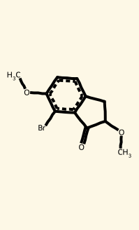 COc1ccc2c(c1Br)C(=O)C(OC)C2